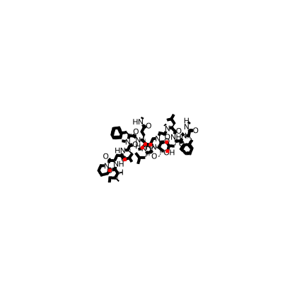 CCCCN(CC(=O)N(C)[C@@H](CC(C)C)C(=O)N[C@@H](CC(C)C)C(=O)N(C)[C@@H](Cc1ccccc1)C(=O)NC)C(=O)[C@@H](NC(=O)[C@H](CC(C)C)N(C)C(=O)[C@H](CCC(=O)NC)NC(=O)[C@H](Cc1ccccc1)N(C)C(=O)[C@@H](CC(C)C)NC(=O)CC(NC(=O)[C@@H](I)[C@@H](C)CC)C(=O)N1CCCCC1)[C@@H](C)O